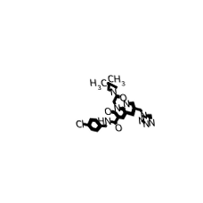 CC1(C)CN(C(=O)Cn2c(=O)c(C(=O)NCc3ccc(Cl)cc3)cc3cc(Cn4cnnn4)cnc32)C1